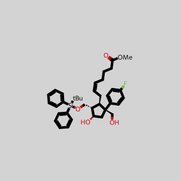 COC(=O)CCC/C=C\C[C@@H]1[C@@H](CO[Si](c2ccccc2)(c2ccccc2)C(C)(C)C)[C@H](O)C[C@@]1(CO)c1ccc(F)cc1